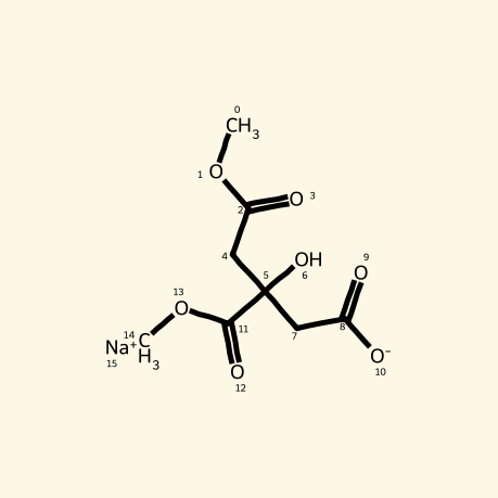 COC(=O)CC(O)(CC(=O)[O-])C(=O)OC.[Na+]